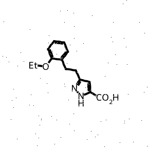 CCOc1ccccc1CCc1cc(C(=O)O)[nH]n1